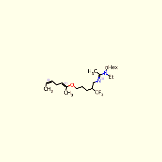 C/C=C\C/C=C(\C)OCCCC(C/N=C(\C)N(CC)CCCCCC)C(F)(F)F